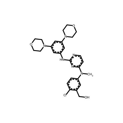 CN(c1ccc(Cl)c(CO)c1)c1ccnc(Nc2cc(N3CCOCC3)cc(N3CCOCC3)c2)n1